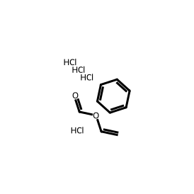 C=COC=O.Cl.Cl.Cl.Cl.c1ccccc1